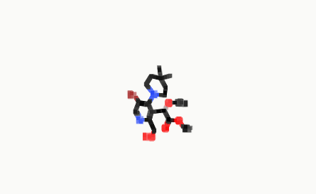 CC(C)OC(=O)[C@@H](OC(C)(C)C)c1c(CO)ncc(Br)c1N1CCC(C)(C)CC1